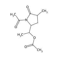 CC(=O)OC(C)C1CC(C)C(=O)N1C(C)=O